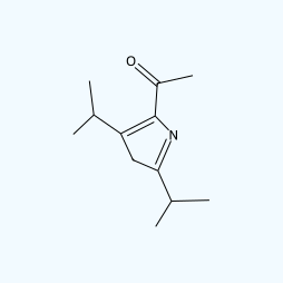 CC(=O)C1=C(C(C)C)CC(C(C)C)=N1